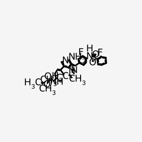 CC(C)n1nc(-c2ccc(NS(=O)(=O)c3ccccc3F)c(F)c2)c2c(N)ncc(C3=CCC(NC(=O)OC(C)(C)C)CC3)c21